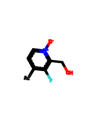 CC(=O)c1cc[n+]([O-])c(CO)c1F